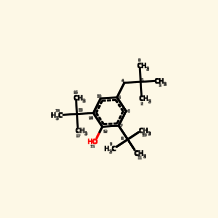 CC(C)(C)Cc1cc(C(C)(C)C)c(O)c(C(C)(C)C)c1